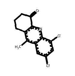 Cc1c2c(nc3c(Cl)cc(Cl)cc13)C(=O)CCC2